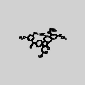 COc1cc2c(c(OC)c1)[C@@H](C)C=C1N(C2)C(=O)N(CC(=O)O)C12CCN(C(=O)c1cc(C)cc(C)c1)CC2